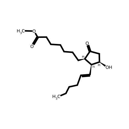 CCCCC=C[C@@H]1[C@H](O)CC(=O)[C@@H]1CCCCCCC(=O)OC